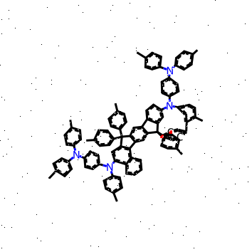 Cc1ccc(N(c2ccc(C)cc2)c2ccc(N3c4ccc(C)c(c4)-c4ccc(cc4)C4(c5ccc(C)cc5)c5cc3ccc5-c3cc5c(cc34)-c3c(cc(N(c4ccc(C)cc4)c4ccc(N(c6ccc(C)cc6)c6ccc(C)cc6)cc4)c4ccccc34)C5(c3ccc(C)cc3)c3ccc(C)cc3)cc2)cc1